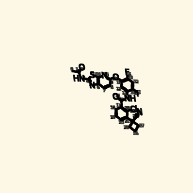 CC(=O)Nc1nc2ccc(Oc3cc(NC(=O)c4cccc(C5(C#N)CCC5)c4Cl)c(F)cc3F)nc2s1